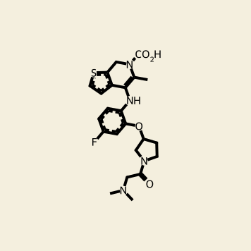 CC1=C(Nc2ccc(F)cc2OC2CCN(C(=O)CN(C)C)C2)c2ccsc2CN1C(=O)O